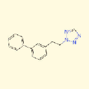 c1ccc(-c2cccc(CCn3ncnn3)c2)cc1